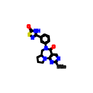 CSc1ncc2c(n1)N1CCCC1CN(c1cccc(-c3nsc(=O)[nH]3)c1)C2=O